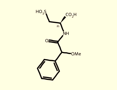 COC(C(=O)N[C@@H](CS(=O)(=O)O)C(=O)O)c1ccccc1